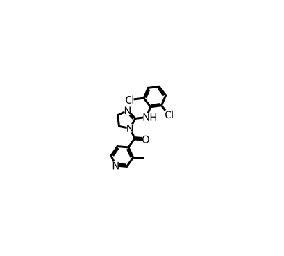 Cc1cnccc1C(=O)N1CCN=C1Nc1c(Cl)cccc1Cl